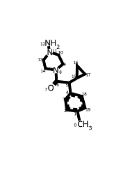 Cc1ccc(C(C(=O)N2CCN(N)CC2)C2CC2)cc1